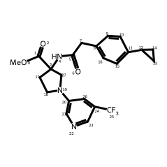 COC(=O)C1(NC(=O)Cc2ccc(C3CC3)cc2)CCN(c2cncc(C(F)(F)F)c2)C1